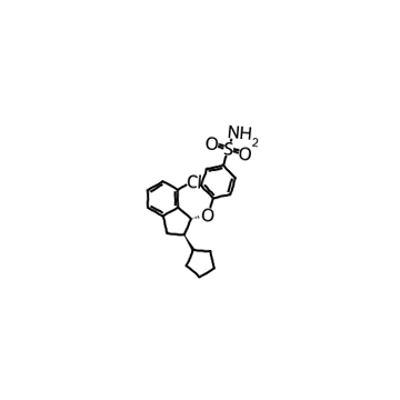 NS(=O)(=O)c1ccc(O[C@H]2c3c(Cl)cccc3C[C@@H]2C2CCCC2)cc1